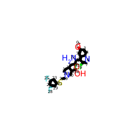 COc1ccc2ncc(Cl)c(C(N)CCC3CCN(CCSc4cc(F)cc(F)c4)CC3C(=O)O)c2c1